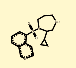 O=S(=O)(c1cccc2cnccc12)N1CCCNCC1C1CC1